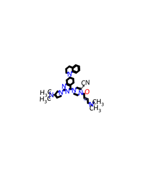 CN(C)C/C=C/C(=O)N1CCN(c2nc(N3CC[C@@H](N(C)C)C3)nc3c2CCC(N2CCCc4ccccc42)C3)C[C@@H]1CC#N